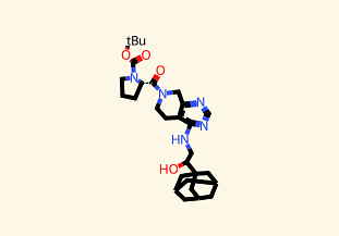 CC(C)(C)OC(=O)N1CCC[C@H]1C(=O)N1CCc2c(ncnc2NCC(O)C23CC4CC(CC(C4)C2)C3)C1